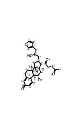 CC(=O)SCC(=O)[C@H]1[C@H](CN(O)Cc2ccoc2)C[C@H]2[C@@H]3CCC4=CC(=O)C=C[C@]4(C)[C@H]3[C@@H](O)C[C@@]21C